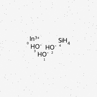 [In+3].[OH-].[OH-].[OH-].[SiH4]